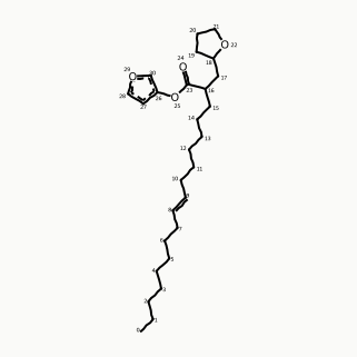 CCCCCCCC/C=C/CCCCCCC(CC1CCCO1)C(=O)Oc1ccoc1